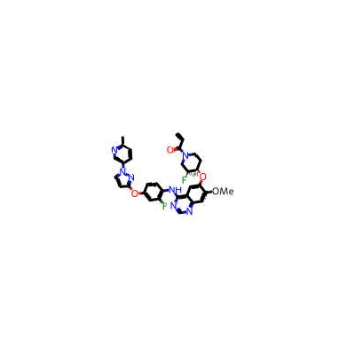 C=CC(=O)N1CC[C@@H](Oc2cc3c(Nc4ccc(Oc5ccn(-c6ccc(C)nc6)n5)cc4F)ncnc3cc2OC)[C@H](F)C1